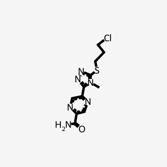 Cn1c(SCCCCl)nnc1-c1cnc(C(N)=O)cn1